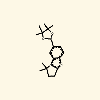 CC1(C)CCc2nc3ccc(B4OC(C)(C)C(C)(C)O4)cc3n21